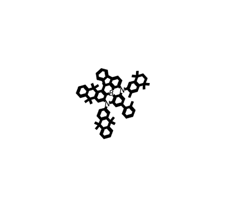 Cc1ccccc1-c1cc2c3c(c1)N(c1cc4c(cc1C)C(C)(C)CCC4(C)C)c1ccc4c5c1B3c1c(cc3c(c1C5(C)c1ccccc1-4)C(C)(C)c1ccccc1C3(C)C)N2c1ccc2c(c1)C(C)(C)c1ccccc1C2(C)C